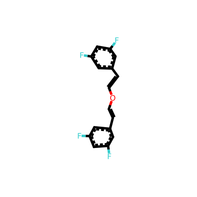 Fc1cc(F)cc(C=COC=Cc2cc(F)cc(F)c2)c1